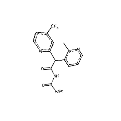 CNC(=O)NC(=O)C(c1cc(C(F)(F)F)ccn1)c1cccnc1C